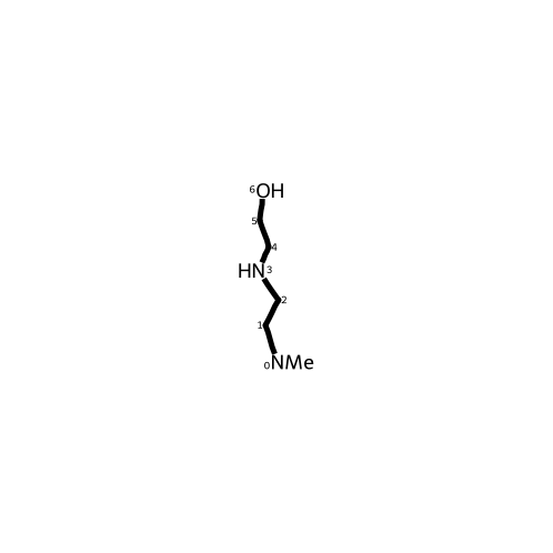 [CH2]NCCNCCO